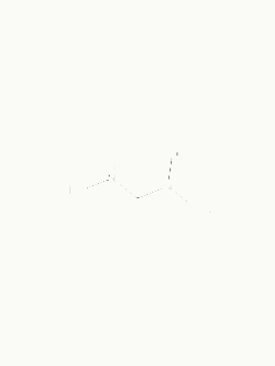 CNC[SiH](C)O